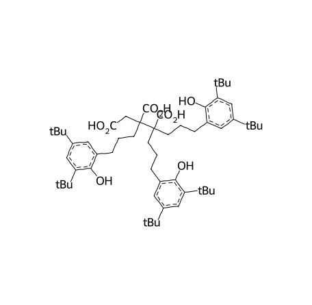 CC(C)(C)c1cc(CCCC(CCCc2cc(C(C)(C)C)cc(C(C)(C)C)c2O)(C(=O)O)C(CCCc2cc(C(C)(C)C)cc(C(C)(C)C)c2O)(CC(=O)O)C(=O)O)c(O)c(C(C)(C)C)c1